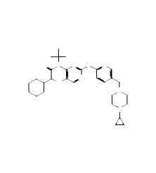 CCC(C)(C)N1C(=O)C(C2CCCCC2)Oc2cnc(Nc3ccc(CN4CCN(C5CC5)CC4)cn3)nc21